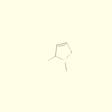 CN1C[C]=CC1Br